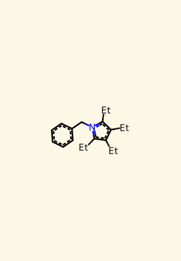 CCc1c(CC)c(CC)n(Cc2ccccc2)c1CC